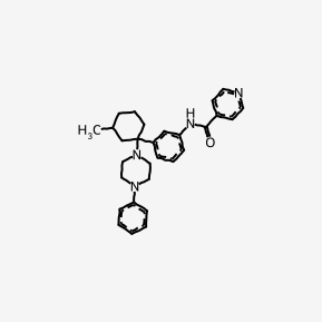 CC1CCCC(c2cccc(NC(=O)c3ccncc3)c2)(N2CCN(c3ccccc3)CC2)C1